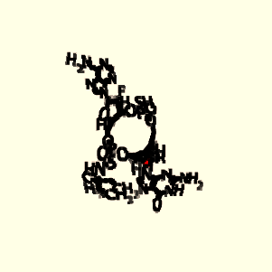 CCC(C)(CC)NS[P@]1(=O)OC[C@H]2O[C@@H](n3cnc4c(N)ncnc43)[C@H](F)[C@@H]2O[P@](=O)(S)OC[C@H]2O[C@@H](n3cnc4c(=O)[nH]c(N)nc43)[C@H](O1)[C@@H]2O